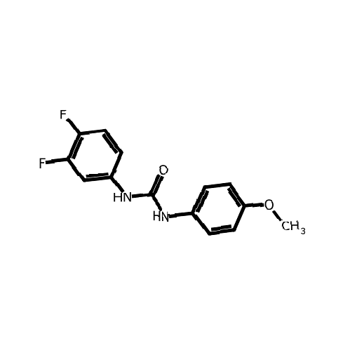 COc1ccc(NC(=O)Nc2ccc(F)c(F)c2)cc1